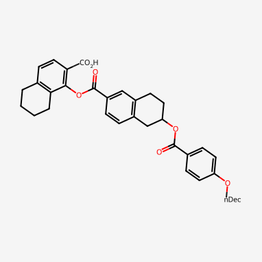 CCCCCCCCCCOc1ccc(C(=O)OC2CCc3cc(C(=O)Oc4c(C(=O)O)ccc5c4CCCC5)ccc3C2)cc1